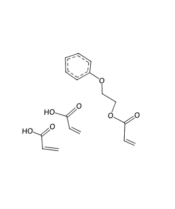 C=CC(=O)O.C=CC(=O)O.C=CC(=O)OCCOc1ccccc1